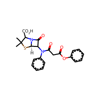 CC1(C)S[C@@H]2C(N(C(=O)CC(=O)Oc3ccccc3)c3ccccc3)C(=O)N2C1C(=O)O